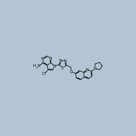 Nc1ncnc2c1c(Cl)cn2-c1nnc(COc2ccc3ccc(N4CCCC4)nc3c2)s1